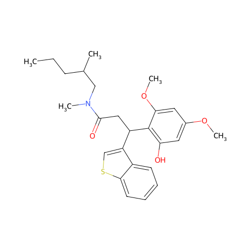 CCCC(C)CN(C)C(=O)CC(c1c(O)cc(OC)cc1OC)c1csc2ccccc12